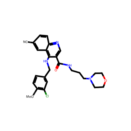 COc1ccc(CNc2c(C(=O)NCCCN3CCOCC3)cnc3ccc(C#N)cc23)cc1Cl